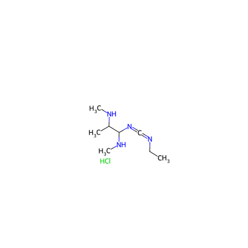 CCN=C=NC(NC)C(C)NC.Cl